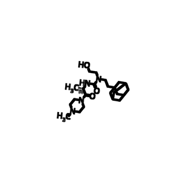 C[C@H](NC(=O)N(CCO)CCC12CC3CC(CC(C3)C1)C2)C(=O)N1CCN(C)CC1